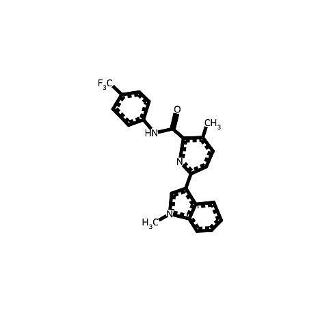 Cc1ccc(-c2cn(C)c3ccccc23)nc1C(=O)Nc1ccc(C(F)(F)F)cc1